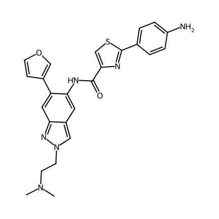 CN(C)CCn1cc2cc(NC(=O)c3csc(-c4ccc(N)cc4)n3)c(-c3ccoc3)cc2n1